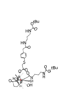 C[C@@H]1CC[C@@]23CCC(=O)[C@H]2[C@]1(C)[C@H](OC(=O)CSc1ccc(CC(=O)NCCCNC(=O)OC(C)(C)C)cc1)C[C@](C)(C(=O)NCCCNC(=O)OC(C)(C)C)[C@@H](O)[C@@H]3C